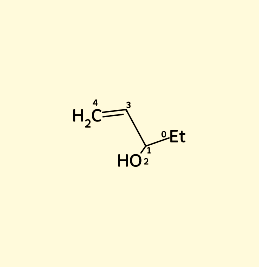 [CH2]CC(O)C=C